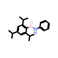 CC(C)c1cc(C(C)C)c(BNc2ccccc2)c(C(C)C)c1